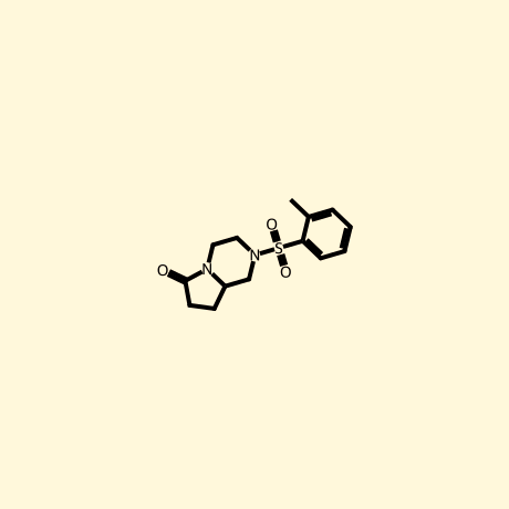 Cc1ccccc1S(=O)(=O)N1CCN2C(=O)CCC2C1